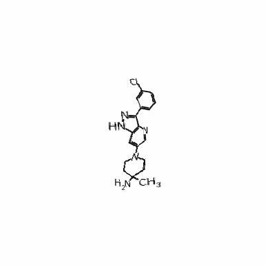 CC1(N)CCN(c2cnc3c(-c4cccc(Cl)c4)n[nH]c3c2)CC1